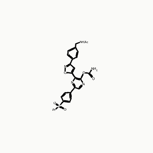 CC(=O)NCc1ccc(-c2cc(-c3nc(-c4ccc(S(=O)(=O)C(C)C)cc4)cnc3OC(N)=O)on2)cc1